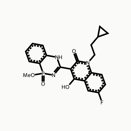 COP1(=O)N=C(c2c(O)c3cc(F)ccc3n(CCC3CC3)c2=O)Nc2ccccc21